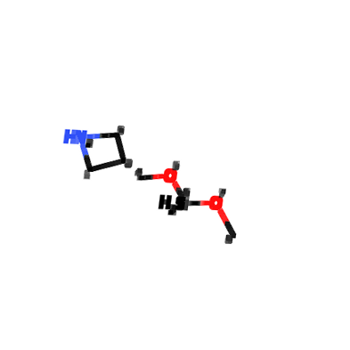 C1CNC1.CO[SiH2]OC